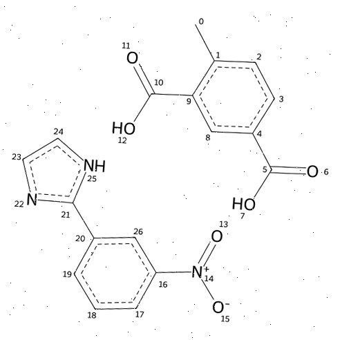 Cc1ccc(C(=O)O)cc1C(=O)O.O=[N+]([O-])c1cccc(-c2ncc[nH]2)c1